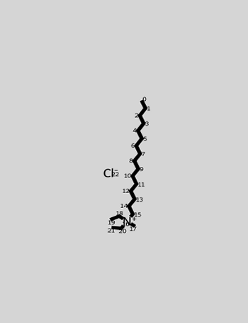 CCCCCCCCCCCCCCCC[N+](C)(CC)CC.[Cl-]